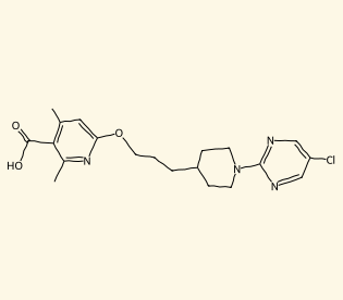 Cc1cc(OCCCC2CCN(c3ncc(Cl)cn3)CC2)nc(C)c1C(=O)O